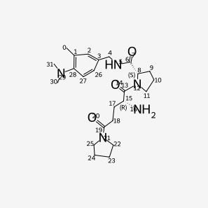 Cc1cc(CNC(=O)[C@@H]2CCCN2C(=O)[C@H](N)CCC(=O)N2CCCC2)ccc1N(C)C